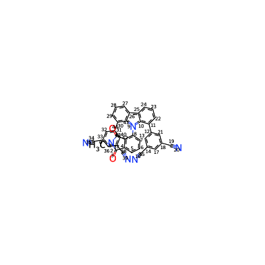 CN1C(=O)c2cccc(-n3c4c(-c5cc(C#N)cc(C#N)c5)cccc4c4cccc(-c5cc(C#N)cc(C#N)c5)c43)c2C1=O